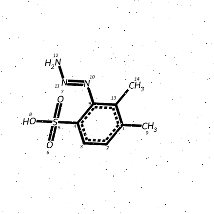 Cc1ccc(S(=O)(=O)O)c(N=NN)c1C